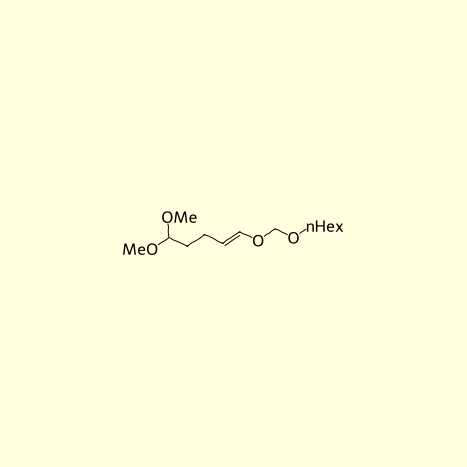 CCCCCCOCOC=CCCC(OC)OC